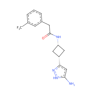 Nc1cc([C@H]2C[C@@H](NC(=O)Cc3cccc(C(F)(F)F)c3)C2)n[nH]1